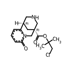 CC(C)(CCl)OC(=O)[C@@]12CNC[C@@H](C1)c1cccc(=O)n1C2